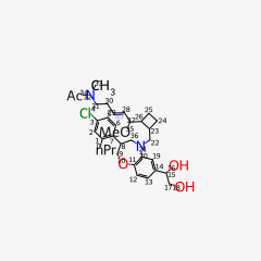 CCCc1cc(Cl)ccc1C1COc2ccc(C(O)CO)cc2N(CC2CCC2C(/C=C/CCN(C)C(C)=O)OC)C1